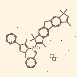 CC1=CC(C)(C)c2cc3c(cc21)-c1cc2c(cc1C3)C(C)(C)[C]([Zr+2](=[CH]c1ccccc1)[C]1=C(C)C(c3ccccc3)=CC1C)=C2C.[Cl-].[Cl-]